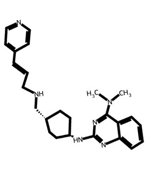 CN(C)c1nc(N[C@H]2CC[C@@H](CNC/C=C/c3ccncc3)CC2)nc2ccccc12